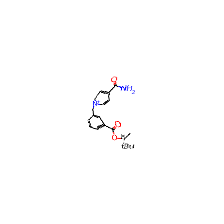 C[C@@H](OC(=O)c1cccc(C[n+]2ccc(C(N)=O)cc2)c1)C(C)(C)C